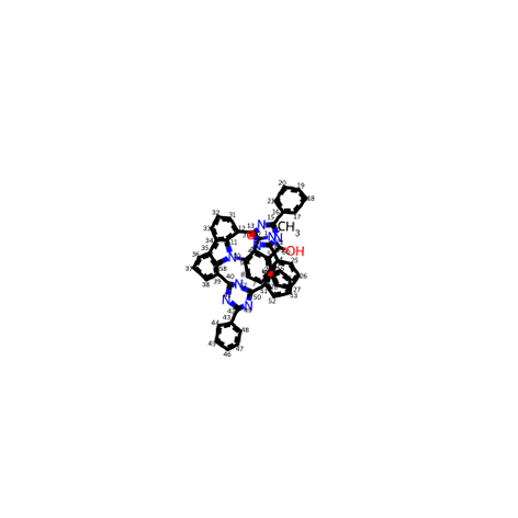 CN1C(=O)c2c(cccc2-n2c3c(-c4nc(-c5ccccc5)nc(-c5ccccc5)n4)cccc3c3cccc(-c4nc(-c5ccccc5)nc(-c5ccccc5)n4)c32)C1O